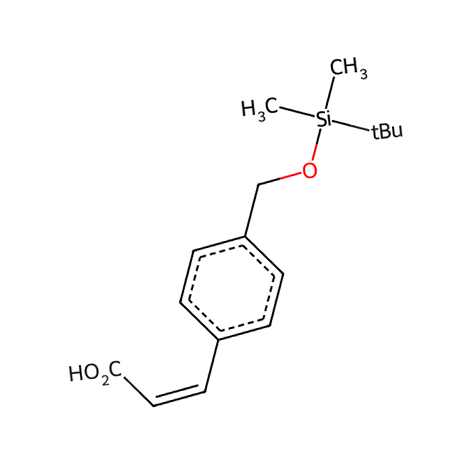 CC(C)(C)[Si](C)(C)OCc1ccc(/C=C\C(=O)O)cc1